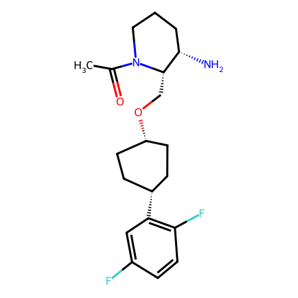 CC(=O)N1CCC[C@H](N)[C@@H]1CO[C@H]1CC[C@@H](c2cc(F)ccc2F)CC1